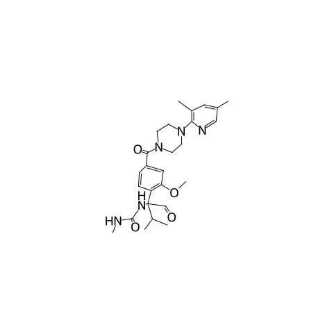 CNC(=O)NC(C=O)(c1ccc(C(=O)N2CCN(c3ncc(C)cc3C)CC2)cc1OC)C(C)C